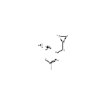 CC(C)=CCCC1CO1.Cl.N